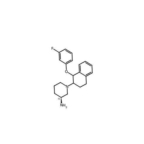 N[C@H]1CCCN(C2CCc3ccccc3C2Oc2cccc(F)c2)C1